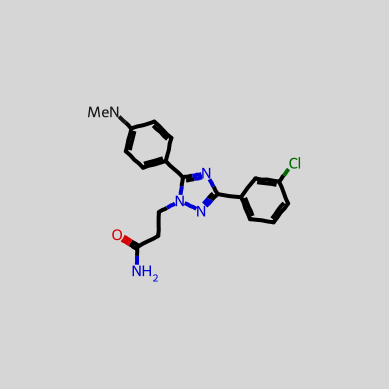 CNc1ccc(-c2nc(-c3cccc(Cl)c3)nn2CCC(N)=O)cc1